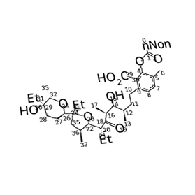 CCCCCCCCCC(=O)Oc1c(C)ccc(CC[C@@H](C)[C@H](O)[C@H](C)C(=O)[C@H](CC)[C@H]2O[C@](CC)([C@H]3CC[C@](O)(CC)[C@H](C)O3)C[C@@H]2C)c1C(=O)O